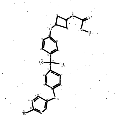 CC(C)(C)OC(=O)NC1CC(Oc2ccc(C(C)(C)c3ccc(Oc4cnc(C#N)nc4)cc3)cc2)C1